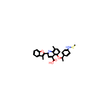 CSNc1ccc(C(C)Oc2ccc(C)c3nc(-c4oc5ccccc5c4C)cc(C(=O)O)c23)cc1